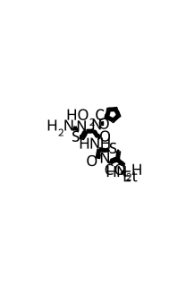 CCNCC1=C(C(=O)O)N2C(=O)C(NC(=O)/C(=N\OC3(C(=O)O)CCCC3)c3csc(N)n3)[C@@H]2SC1